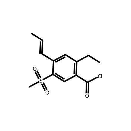 CC=Cc1cc(CC)c(C(=O)Cl)cc1S(C)(=O)=O